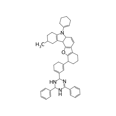 CC1CCC2=C(C1)C1c3oc4c(c3C=CC1N2C1=CCCCC1)CCCC4C1=CC(C2N=C(c3ccccc3)NC(c3ccccc3)N2)=CCC1